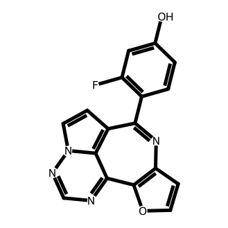 Oc1ccc(C2=Nc3ccoc3-c3ncnn4ccc2c34)c(F)c1